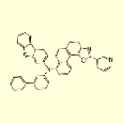 c1ccc(-c2cccc(N(c3ccc4c(c3)sc3ccccc34)c3cccc4c3ccc3ccc5nc(-c6cccnc6)oc5c34)c2)cc1